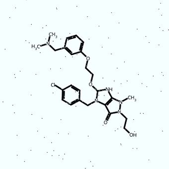 CN(C)Cc1cccc(OCCOC2Nc3c(c(=O)n(CCO)n3C)N2Cc2ccc(Cl)cc2)c1